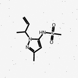 C=CC(C)n1nc(C)cc1NS(C)(=O)=O